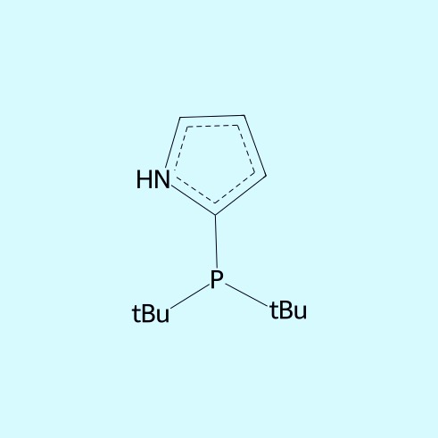 CC(C)(C)P(c1ccc[nH]1)C(C)(C)C